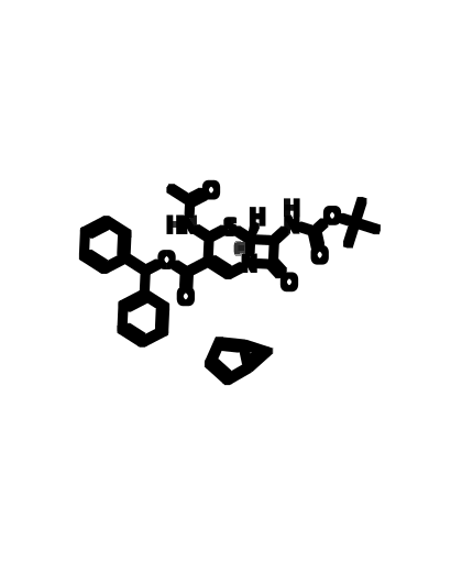 CC(=O)NC1S[C@@H]2C(NC(=O)OC(C)(C)C)C(=O)N2C=C1C(=O)OC(c1ccccc1)c1ccccc1.c1cc2cc-2c1